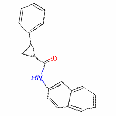 O=C(Nc1ccc2ccccc2c1)C1CC1c1ccccc1